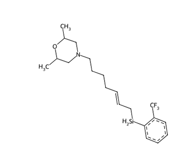 CC1CN(CCCCC=CC[SiH2]c2ccccc2C(F)(F)F)CC(C)O1